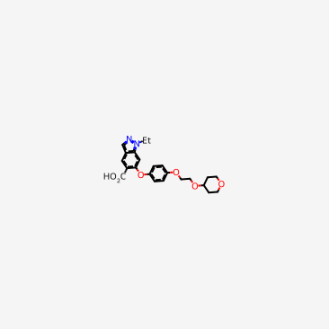 CCn1ncc2cc(C(=O)O)c(Oc3ccc(OCCOC4CCOCC4)cc3)cc21